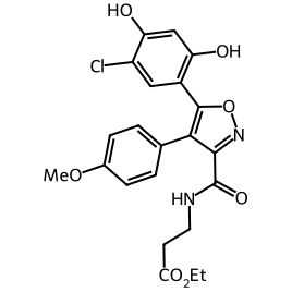 CCOC(=O)CCNC(=O)c1noc(-c2cc(Cl)c(O)cc2O)c1-c1ccc(OC)cc1